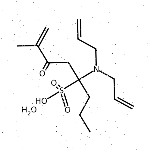 C=CCN(CC=C)C(CCC)(CC(=O)C(=C)C)S(=O)(=O)O.O